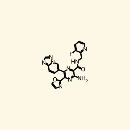 Nc1nc(-c2ncco2)c(-c2ccc3ncnn3c2)nc1C(=O)NCc1ncccc1F